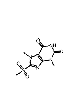 Cn1c(S(C)(=O)=O)nc2c1c(=O)[nH]c(=O)n2C